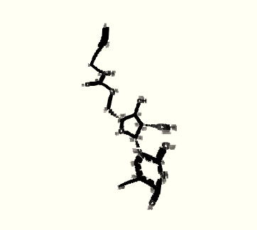 C#CCNC(=O)OC[C@H]1O[C@@H](n2cc(C)c(=O)[nH]c2=O)[C@@H](O)C1O